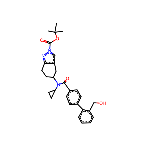 CC(C)(C)OC(=O)n1cc2c(n1)CCC(N(C(=O)c1ccc(-c3ccccc3CO)cc1)C1CC1)C2